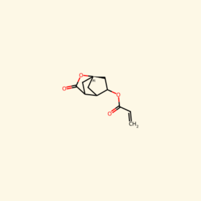 C=CC(=O)OC1C[C@@]23CC(C(=O)O2)C1C3